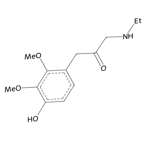 CCNCC(=O)Cc1ccc(O)c(OC)c1OC